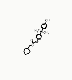 CC(C)(c1ccc(O)cc1)c1ccc(NC(=O)OCC2CCCCC2)cc1